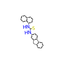 S=C(Nc1ccc2c(c1)Cc1ccccc1-2)Nc1cccc2ccccc12